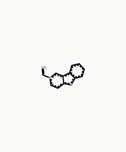 C=Cn1ccc2nc3ccccc3c-2c1